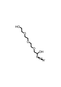 [N-]=[N+]=NC(O)COCCOCCOCCO